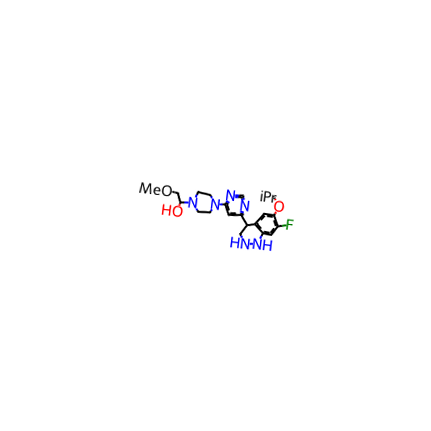 COCC(O)N1CCN(c2cc(C3CNNc4cc(F)c(OC(C)C)cc43)ncn2)CC1